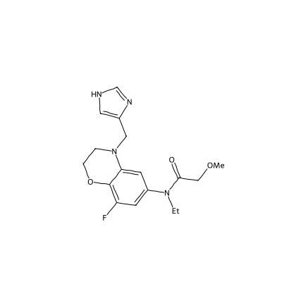 CCN(C(=O)COC)c1cc(F)c2c(c1)N(Cc1c[nH]cn1)CCO2